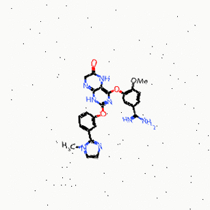 COc1ccc(C(=N)N)cc1OC1=C2NC(=O)CN=C2NC(Oc2cccc(C3=NCCN3C)c2)=N1